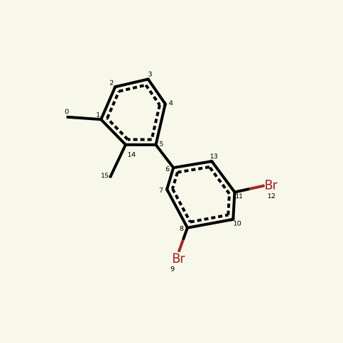 Cc1cccc(-c2cc(Br)cc(Br)c2)c1C